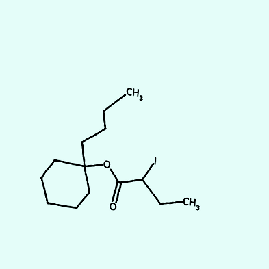 CCCCC1(OC(=O)C(I)CC)CCCCC1